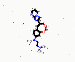 CN(C)CCN(C)c1ccc2c(c1)OCOC/C(c1cn3cccnc3n1)=C\2